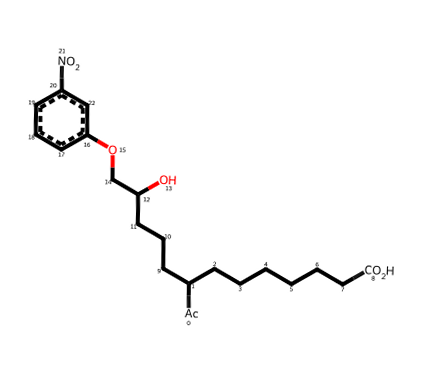 CC(=O)C(CCCCCCC(=O)O)CCCC(O)COc1cccc([N+](=O)[O-])c1